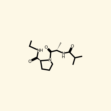 CCNC(=O)[C@@H]1CCCN1C(=O)[C@H](C)NC(=O)C(C)C